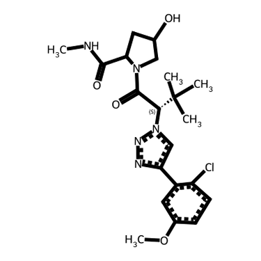 CNC(=O)C1CC(O)CN1C(=O)[C@@H](n1cc(-c2cc(OC)ccc2Cl)nn1)C(C)(C)C